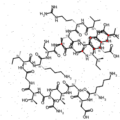 CC[C@H](C)[C@H](NC(=O)CNC(=O)[C@@H](NC(=O)[C@H](CC(N)=O)NC(=O)[C@@H](NC(=O)[C@H](C)NC(=O)[C@H](CC(=O)O)NC(=O)[C@@H](N)CCCCN)[C@@H](C)O)[C@@H](C)O)C(=O)N[C@@H](CCCCN)C(=O)N[C@@H](CS)C(=O)N[C@@H](C)C(=O)NCC(=O)N[C@H](C(=O)N[C@@H](CC(=O)O)C(=O)N[C@H](C(=O)N[C@@H](CCCNC(=N)N)C(=O)N[C@@H](CC(C)C)C(=O)N[C@@H](CS)C(=O)N[C@@H](CC(=O)O)C(=O)N[C@H](C(=O)O)C(C)C)C(C)C)[C@@H](C)CC